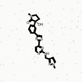 CN1CC[C@@](O)(c2cccc(-c3csc(-c4ccnc(NCc5ccn(C)n5)n4)n3)c2)C1=O